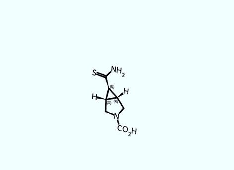 NC(=S)[C@H]1[C@@H]2CN(C(=O)O)C[C@@H]21